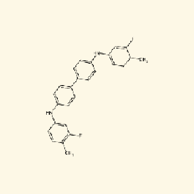 Cc1ccc(Nc2ccc(-c3ccc(NC4=CCC(C)C(F)=C4)cc3)cc2)cc1F